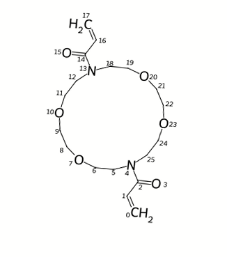 C=CC(=O)N1CCOCCOCCN(C(=O)C=C)CCOCCOCC1